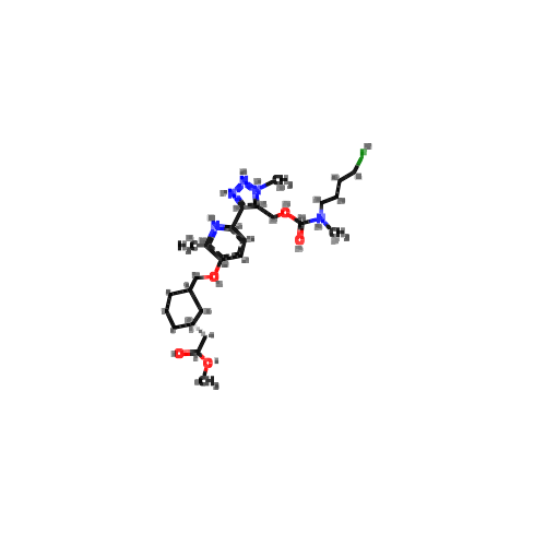 COC(=O)C[C@@H]1CCCC(COc2ccc(-c3nnn(C)c3COC(=O)N(C)CCCCF)nc2C)C1